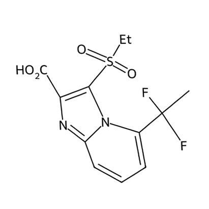 CCS(=O)(=O)c1c(C(=O)O)nc2cccc(C(C)(F)F)n12